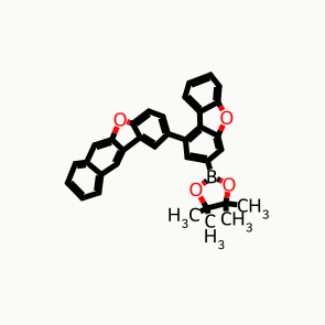 CC1(C)OB(c2cc(-c3ccc4oc5cc6ccccc6cc5c4c3)c3c(c2)oc2ccccc23)OC1(C)C